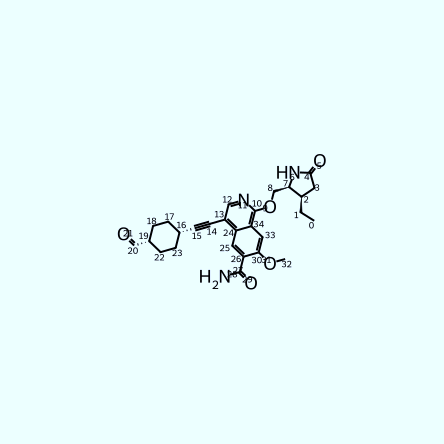 CC[C@@H]1CC(=O)N[C@@H]1COc1ncc(C#C[C@H]2CC[C@@H](C=O)CC2)c2cc(C(N)=O)c(OC)cc12